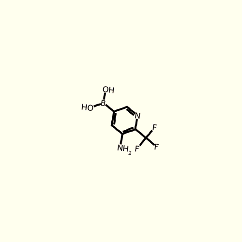 Nc1cc(B(O)O)cnc1C(F)(F)F